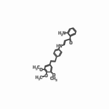 COc1cc(C=Cc2ccc(NC=CC(=O)c3ccccc3N)cc2)cc(OC)c1OC